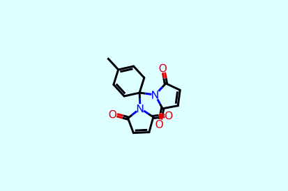 CC1=CCC(N2C(=O)C=CC2=O)(N2C(=O)C=CC2=O)C=C1